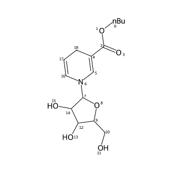 CCCCOC(=O)C1=CN(C2OC(CO)C(O)C2O)C=CC1